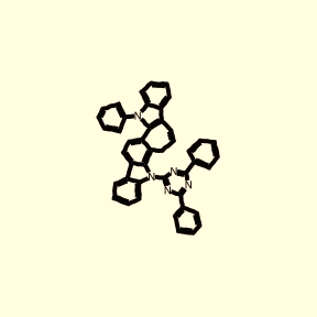 C1=Cc2c(n(-c3ccccc3)c3ccccc23)-c2ccc3c4ccccc4n(-c4nc(-c5ccccc5)nc(-c5ccccc5)n4)c3c2C1